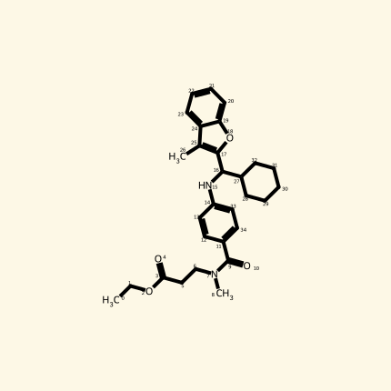 CCOC(=O)CCN(C)C(=O)c1ccc(NC(c2oc3ccccc3c2C)C2CCCCC2)cc1